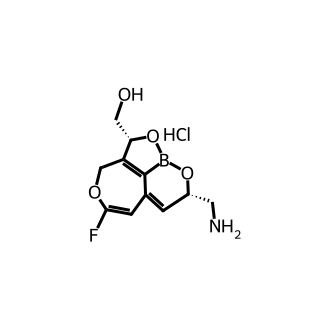 Cl.NC[C@@H]1C=C2C=C(F)OCC3=C2B(O[C@H]3CO)O1